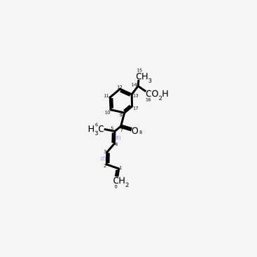 C=C/C=C\C=C(/C)C(=O)c1cccc(C(C)C(=O)O)c1